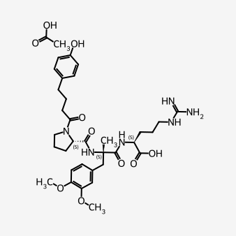 CC(=O)O.COc1ccc(C[C@](C)(NC(=O)[C@@H]2CCCN2C(=O)CCCc2ccc(O)cc2)C(=O)N[C@@H](CCCNC(=N)N)C(=O)O)cc1OC